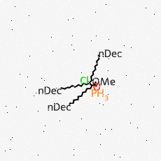 CCCCCCCCCCCCCCCCCCCCC(C(=O)OC)C(Cl)(CCCCCCCCCCCCCCCCCCCC)CCCCCCCCCCCCCCCCCCCC.P